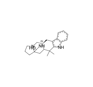 CC1(C)c2[nH]c3ccccc3c2C[C@@]23CN4CCCC4(CC12)C(O)N3